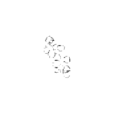 c1ccc(-n2ccc3c2C(c2ccccc2)(c2ccccc2)c2ccc4c(c2O3)Oc2ccn(-c3ccccc3)c2C4(c2ccccc2)c2ccccc2)cc1